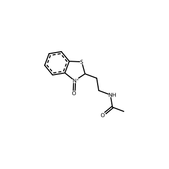 CC(=O)NCCC1Sc2ccccc2[N+]1=O